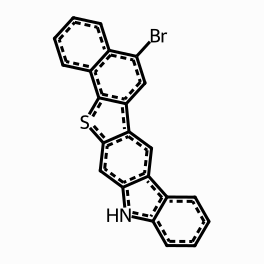 Brc1cc2c3cc4c(cc3sc2c2ccccc12)[nH]c1ccccc14